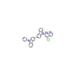 Clc1cc(-n2c3ccccc3c3cc(-c4ccc5c(c4)c4ccccc4n5-c4ccccc4)ccc32)nc2ncccc12